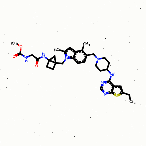 Cc1c(CN2CCC(Nc3ncnc4sc(CC(F)(F)F)cc34)CC2)ccc2c1cc(C#N)n2CC12CCC1(NC(=O)CNC(=O)OC(C)(C)C)C2